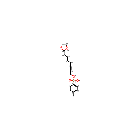 Cc1ccc(S(=O)(=O)OCC#CCCCCC2OCCO2)cc1